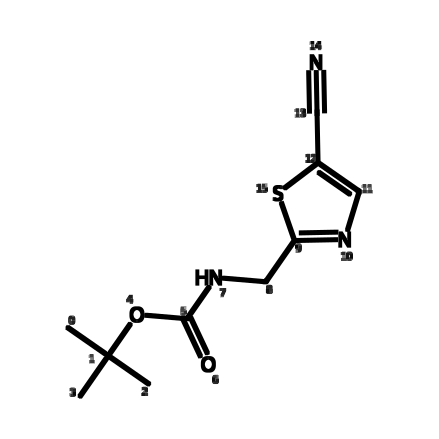 CC(C)(C)OC(=O)NCc1ncc(C#N)s1